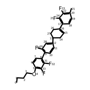 CCCCOc1ccc(-c2ccc(C3CC=C(c4ccc(C)c(F)c4F)CC3)cc2F)c(F)c1F